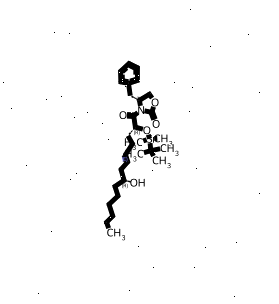 CCCCCC[C@@H](O)C/C=C/CC[C@@H](O[Si](C)(C)C(C)(C)C)C(=O)N1C(=O)OC[C@H]1Cc1ccccc1